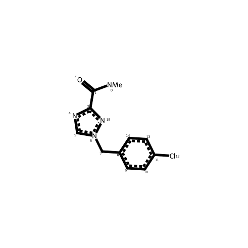 CNC(=O)c1ncn(Cc2ccc(Cl)cc2)n1